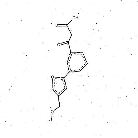 COCc1cc(-c2cccc(C(=O)CC(=O)O)c2)on1